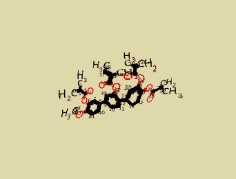 C=C(C)C(=O)Oc1cc(-c2ccc(-c3ccc(OC(=O)C(=C)C)c(OC(=O)C(=C)C)c3)c(OC(=O)/C(C)=C/C)c2)ccc1OC